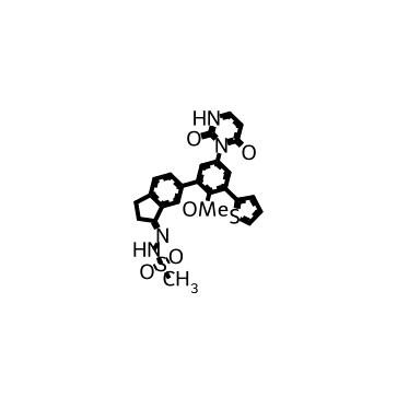 COc1c(-c2ccc3c(c2)/C(=N/NS(C)(=O)=O)CC3)cc(-n2c(=O)cc[nH]c2=O)cc1-c1cccs1